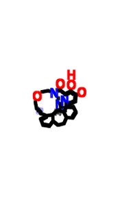 O=C1c2c(O)c(=O)ccn2N2CN1CCOC/C=C\C1=CC=CC3CCC4C=CC=CC4[C@@H]2C13